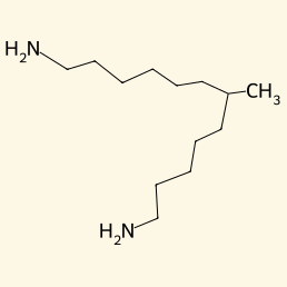 CC(CCCCCN)CCCCCCN